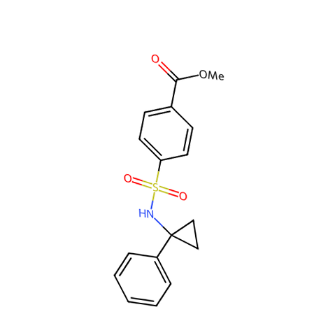 COC(=O)c1ccc(S(=O)(=O)NC2(c3ccccc3)CC2)cc1